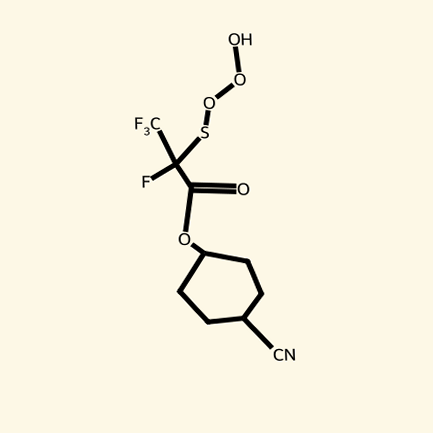 N#CC1CCC(OC(=O)C(F)(SOOO)C(F)(F)F)CC1